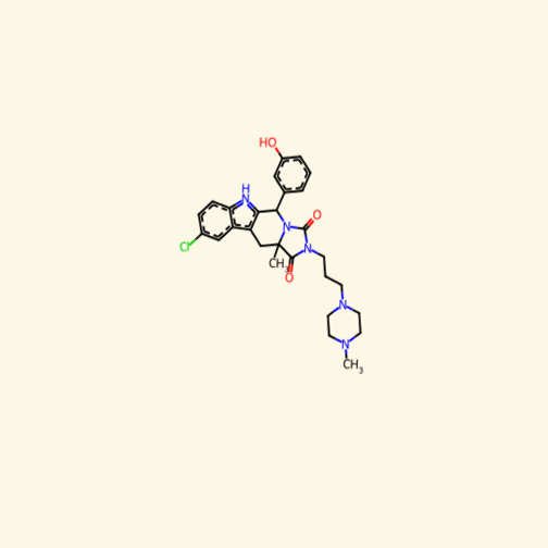 CN1CCN(CCCN2C(=O)N3C(c4cccc(O)c4)c4[nH]c5ccc(Cl)cc5c4CC3(C)C2=O)CC1